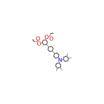 C=CC(=O)Oc1cc(OC(=O)C=C)cc(-c2ccc(-c3ccc(N(c4ccc(C)c(C)c4)c4ccc(C)c(C)c4)cc3)cc2)c1